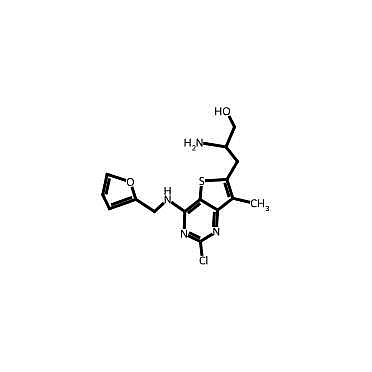 Cc1c(CC(N)CO)sc2c(NCc3ccco3)nc(Cl)nc12